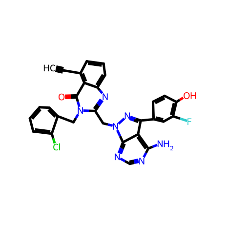 C#Cc1cccc2nc(Cn3nc(-c4ccc(O)c(F)c4)c4c(N)ncnc43)n(Cc3ccccc3Cl)c(=O)c12